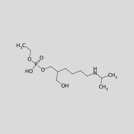 CCOP(=O)(O)OCC(CO)CCCCNC(C)C